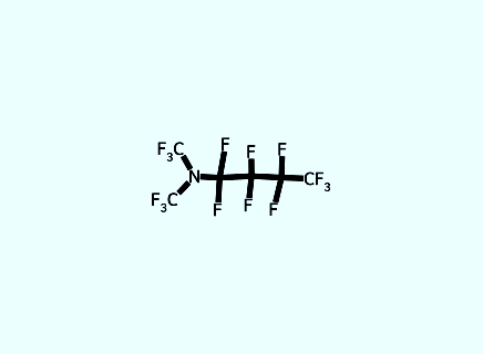 FC(F)(F)N(C(F)(F)F)C(F)(F)C(F)(F)C(F)(F)C(F)(F)F